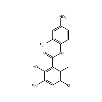 Cc1c(Cl)cc(C(C)(C)C)c(O)c1C(=O)Nc1ccc([N+](=O)[O-])cc1C(F)(F)F